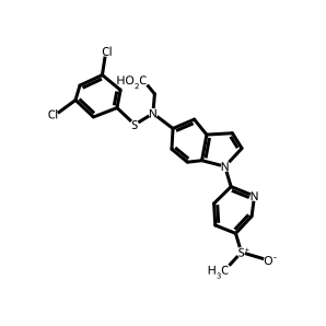 C[S+]([O-])c1ccc(-n2ccc3cc(N(CC(=O)O)Sc4cc(Cl)cc(Cl)c4)ccc32)nc1